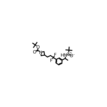 CC(N[S@+]([O-])C(C)(C)C)c1cccc(C(F)(F)CCC2CN(C(=O)OC(C)(C)C)C2)c1